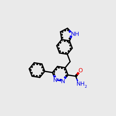 NC(=O)c1nnc(-c2ccccc2)cc1Cc1ccc2cc[nH]c2c1